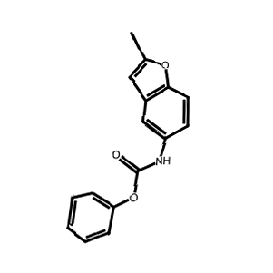 Cc1cc2cc(NC(=O)Oc3ccccc3)ccc2o1